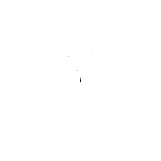 O=C1CC[C@@H](C(=O)O)[C@@H]1CN1CCCCC1